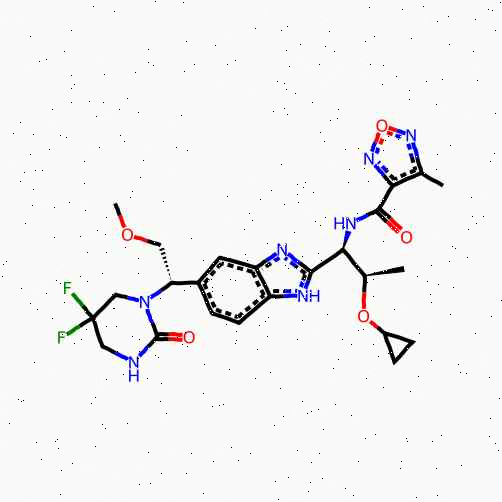 COC[C@H](c1ccc2[nH]c([C@@H](NC(=O)c3nonc3C)[C@@H](C)OC3CC3)nc2c1)N1CC(F)(F)CNC1=O